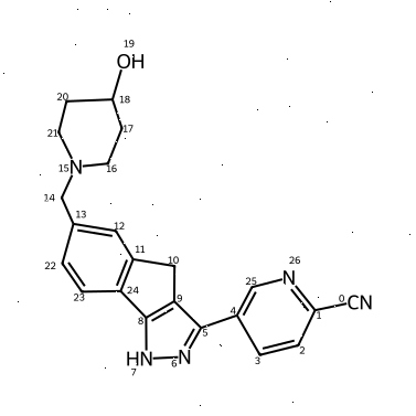 N#Cc1ccc(-c2n[nH]c3c2Cc2cc(CN4CCC(O)CC4)ccc2-3)cn1